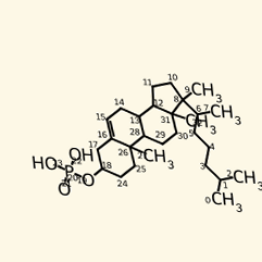 CC(C)CCCC(C)C1(C)CCC2C3CC=C4CC(OP(=O)(O)O)CCC4(C)C3CCC21C